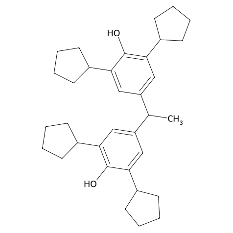 CC(c1cc(C2CCCC2)c(O)c(C2CCCC2)c1)c1cc(C2CCCC2)c(O)c(C2CCCC2)c1